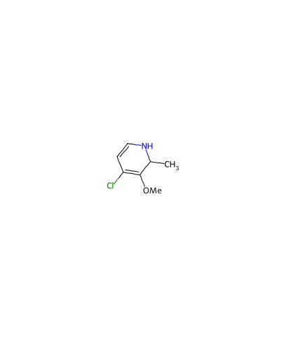 COC1=C(Cl)C=CNC1C